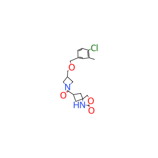 Cc1cc(COCC2CN(C(=O)C3CC4(COC(=O)N4)C3)C2)ccc1Cl